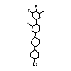 CCC1CCC(C2CCC(C3CCC(C4CC(C)C(F)C(F)C4)C(F)C3)CC2)CC1